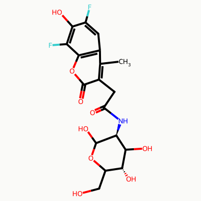 Cc1c(CC(=O)N[C@@H]2C(O)OC(CO)[C@@H](O)C2O)c(=O)oc2c(F)c(O)c(F)cc12